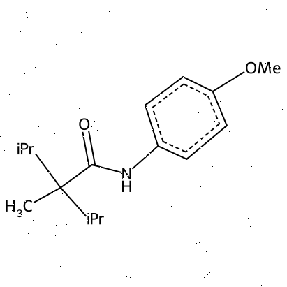 COc1ccc(NC(=O)C(C)(C(C)C)C(C)C)cc1